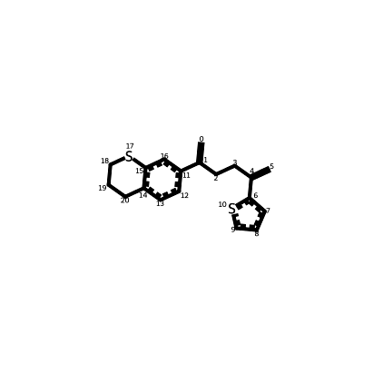 C=C(CCC(=C)c1cccs1)c1ccc2c(c1)SCCC2